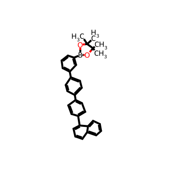 CC1(C)OB(c2cccc(-c3ccc(-c4ccc(-c5cccc6ccccc56)cc4)cc3)c2)OC1(C)C